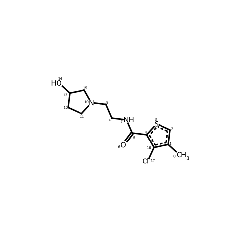 Cc1csc(C(=O)NCCN2CCC(O)C2)c1Cl